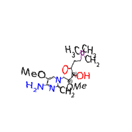 C=C1N=C(N)C(OC)=CN1C1OC(CCP(=C)(C)C)[C@@H](O)[C@H]1OC